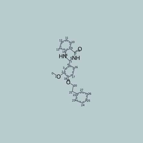 COc1cc(C2NC(=O)c3ccccc3N2)ccc1OCCc1ccccc1